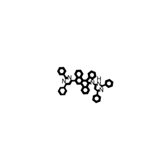 C1=CCC(c2cc(-c3cc4c5ccccc5c5c(c6ccccc6n5C5=CC(c6ccccc6)=NC(c6ccccc6)N5)c4c4ccccc34)nc(-c3ccccc3)n2)C=C1